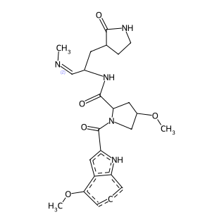 C/N=C\C(CC1CCNC1=O)NC(=O)C1CC(OC)CN1C(=O)c1cc2c(OC)cccc2[nH]1